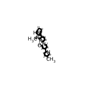 Cc1ccc(-c2ccn(-c3ccc4c5c(n(C)c4n3)CC3CCC5N3)c(=O)c2)nc1